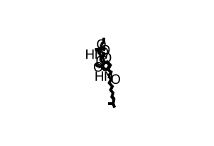 CCOC(=O)C(C)NP(=O)(OC)Oc1ccc(CNC(=O)CCCC/C=C/C(C)C)cc1OC